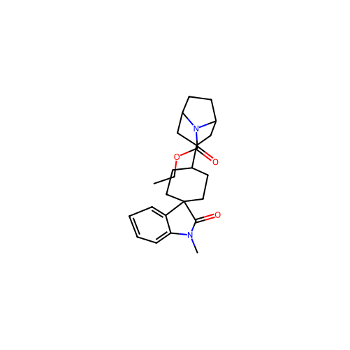 CCOC(=O)N1C2CCC1CC(C1CCC3(CC1)C(=O)N(C)c1ccccc13)C2